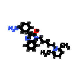 C[C@@H]1CCC[C@H](C)N1CCCCCn1c(=O)c(C2CCCC(N)C2)nc2ccccc21